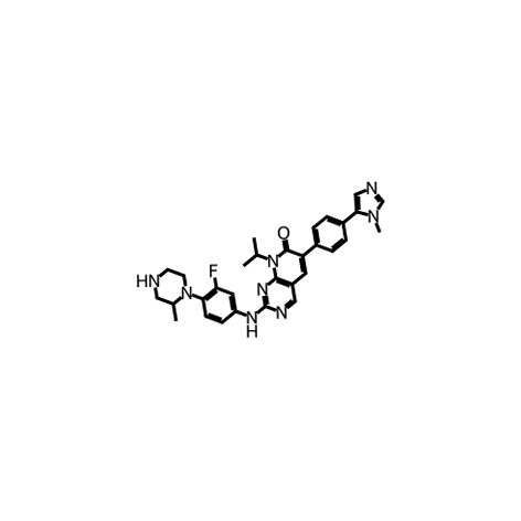 CC1CNCCN1c1ccc(Nc2ncc3cc(-c4ccc(-c5cncn5C)cc4)c(=O)n(C(C)C)c3n2)cc1F